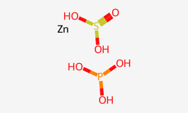 O=S(O)O.OP(O)O.[Zn]